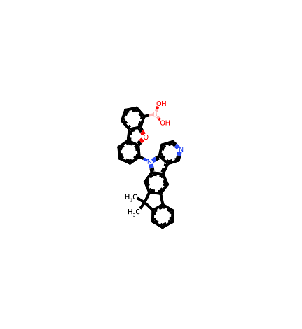 CC1(C)c2ccccc2-c2cc3c4cnccc4n(-c4cccc5c4oc4c(B(O)O)cccc45)c3cc21